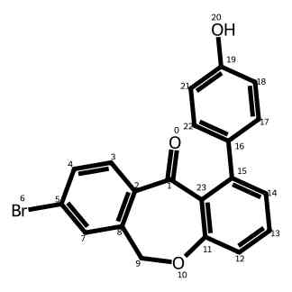 O=C1c2ccc(Br)cc2COc2cccc(-c3ccc(O)cc3)c21